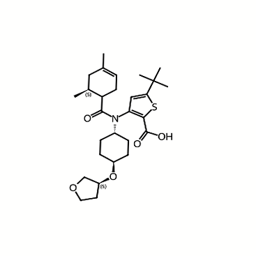 CC1=CCC(C(=O)N(c2cc(C(C)(C)C)sc2C(=O)O)[C@H]2CC[C@H](O[C@H]3CCOC3)CC2)[C@@H](C)C1